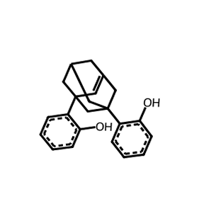 Oc1ccccc1C12C=C3CC(C1)CC(c1ccccc1O)(C3)C2